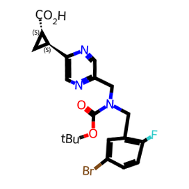 CC(C)(C)OC(=O)N(Cc1cnc([C@H]2C[C@@H]2C(=O)O)cn1)Cc1cc(Br)ccc1F